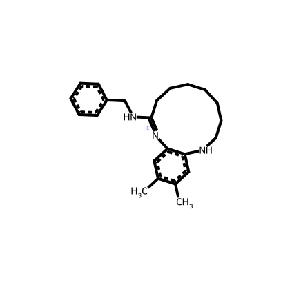 Cc1cc2c(cc1C)NCCCCCCC/C(NCc1ccccc1)=N\2